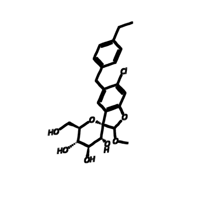 CCc1ccc(Cc2cc3c(cc2Cl)OC(OC)[C@]32O[C@H](CO)[C@@H](O)[C@H](O)[C@H]2O)cc1